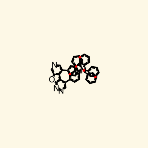 c1ccc(-n2c3ccccc3c3cc(-c4cncc5oc6nncc(-c7ccc8c(c7)c7ccccc7n8-c7ccccc7)c6c45)ccc32)cc1